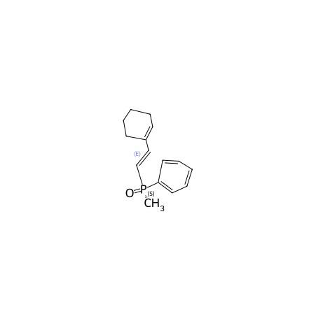 C[P@](=O)(/C=C/C1=CCCCC1)c1ccccc1